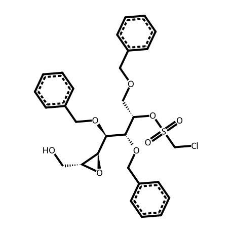 O=S(=O)(CCl)O[C@@H](COCc1ccccc1)[C@H](OCc1ccccc1)[C@H](OCc1ccccc1)[C@H]1O[C@@H]1CO